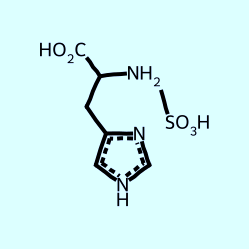 CS(=O)(=O)O.NC(Cc1c[nH]cn1)C(=O)O